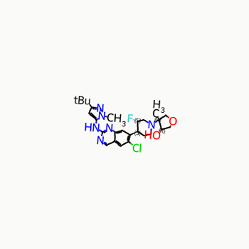 Cn1nc(C(C)(C)C)cc1Nc1ncc2cc(Cl)c([C@@H]3CCN([C@]4(C)COC[C@@H]4O)C[C@H]3F)cc2n1